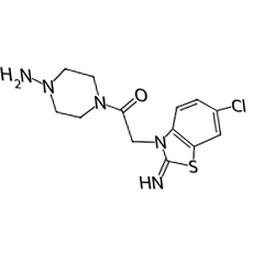 N=c1sc2cc(Cl)ccc2n1CC(=O)N1CCN(N)CC1